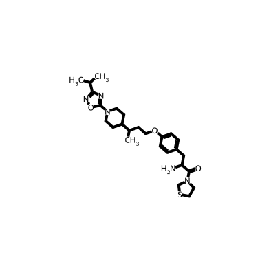 CC(C)c1noc(N2CCC(C(C)CCOc3ccc(CC(N)C(=O)N4CCSC4)cc3)CC2)n1